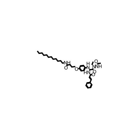 CCCCCCCCCCCCNC(=O)CCCOc1ccc(NC(NC(=O)C=Cc2ccccc2)C(=O)N(CC)NC(C)=O)cc1